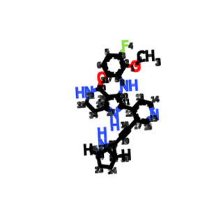 COc1c(F)cccc1Nc1c(-c2ccncc2C#C[C@@H]2N[C@H]3CC[C@@H]2C3)[nH]c2c1C(=O)NCC2